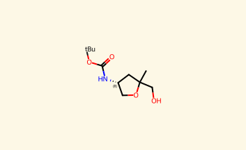 CC(C)(C)OC(=O)N[C@H]1COC(C)(CO)C1